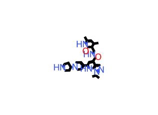 CC1=CC(C)C(CNC(=O)C2=CC(C3=CCN(C4CCNCC4)CC3)Nc3c2cnn3C(C)C)C(=O)N1